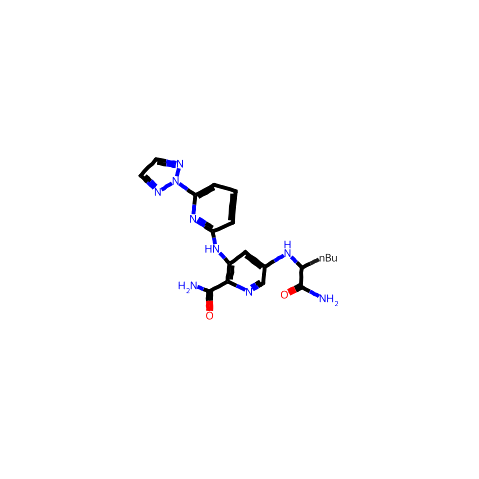 CCCCC(Nc1cnc(C(N)=O)c(Nc2cccc(-n3nccn3)n2)c1)C(N)=O